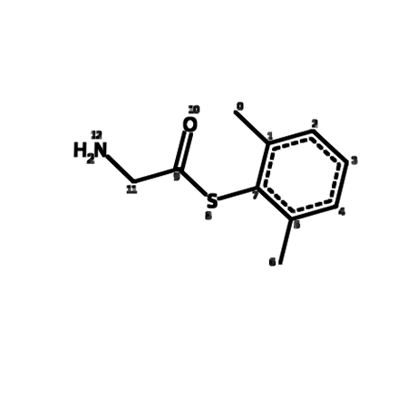 Cc1cccc(C)c1SC(=O)CN